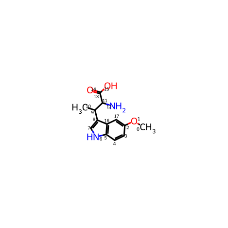 COc1ccc2[nH]cc(C(C)C(N)C(=O)O)c2c1